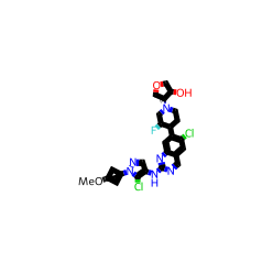 COC12CC(n3ncc(Nc4ncc5cc(Cl)c(C6CCN([C@@H]7COCC7O)CC6F)cc5n4)c3Cl)(C1)C2